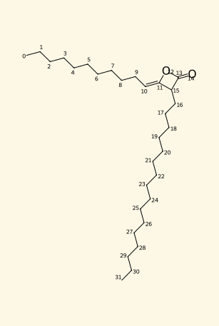 CCCCCCCCCC/C=C1\OC(=O)C1CCCCCCCCCCCCCCCC